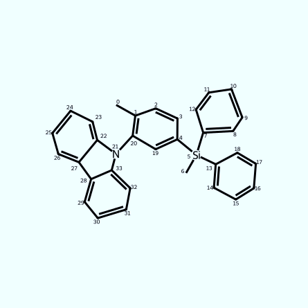 Cc1ccc([Si](C)(c2ccccc2)c2ccccc2)cc1-n1c2ccccc2c2ccccc21